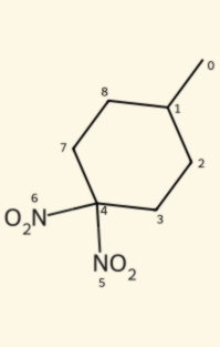 CC1CCC([N+](=O)[O-])([N+](=O)[O-])CC1